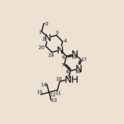 CCN1CCN(c2cc(NCCC(C)(C)C)ncn2)CC1